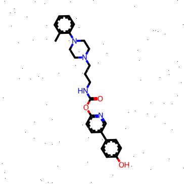 Cc1ccccc1N1CCN(CCCNC(=O)Oc2ccc(-c3ccc(O)cc3)cn2)CC1